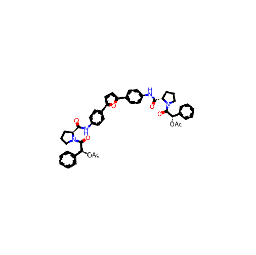 CC(=O)O[C@H](C(=O)N1CCC[C@H]1C(=O)Nc1ccc(-c2ccc(-c3ccc(NC(=O)[C@@H]4CCCN4C(=O)[C@@H](OC(C)=O)c4ccccc4)cc3)o2)cc1)c1ccccc1